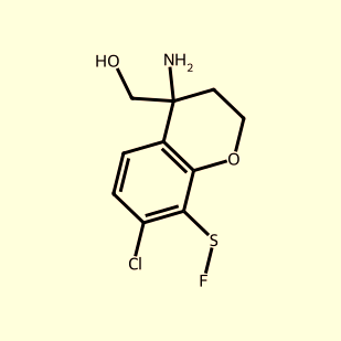 NC1(CO)CCOc2c1ccc(Cl)c2SF